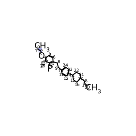 C/C=C/Oc1ccc(CCc2ccc(C3CCC(CCC)CC3)cc2)c(F)c1F